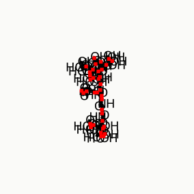 O=C(CCCCC(=O)NCCO[C@H]1O[C@H](CO[C@H]2O[C@H](CO)[C@@H](O)[C@H](O)[C@@H]2O)[C@@H](O)[C@H](O[C@@H]2O[C@H](CO)[C@@H](O)[C@H](O)[C@@H]2O)[C@@H]1O)NCCCC[C@H](NC(=O)CCCCC(=O)ON1C(=O)CCC1=O)C(=O)NCCCCCCNC(=O)CN(CC(=O)N(CCO[C@H]1O[C@H](CO)[C@@H](O)[C@H](O)[C@@H]1O)CCO[C@H]1O[C@H](CO)[C@@H](O)[C@H](O)[C@@H]1O)CC(=O)N(CCO[C@H]1O[C@H](CO)[C@@H](O)[C@H](O)[C@@H]1O)CCO[C@H]1O[C@H](CO)[C@@H](O)[C@H](O)[C@@H]1O